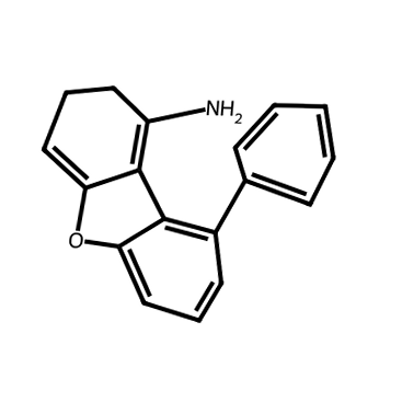 NC1=c2c(oc3cccc(-c4ccccc4)c23)=CCC1